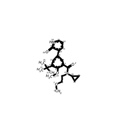 COCCN(C(=O)c1cc(-c2ccc[nH]c2=O)cc(C(C)(C)C)c1OC)C1CC1